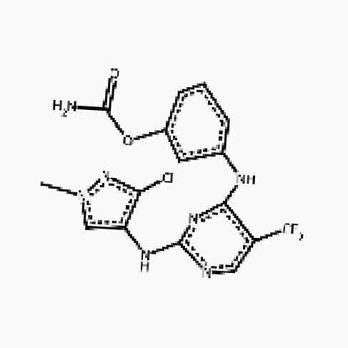 Cn1cc(Nc2ncc(C(F)(F)F)c(Nc3cccc(OC(N)=O)c3)n2)c(Cl)n1